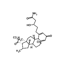 CC1C[C@H]2[C@@H]3CCC4=CC(=O)C=C(CCC(O)CC(N)=O)[C@]4(C)[C@H]3CC[C@]2(C)[C@H]1C(=O)C(=O)O